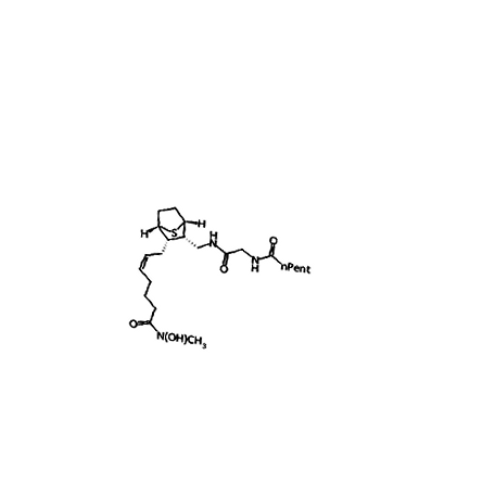 CCCCCC(=O)NCC(=O)NC[C@@H]1[C@H](C/C=C\CCCC(=O)N(C)O)[C@@H]2CC[C@H]1S2